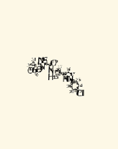 CS(=O)(=O)C1(c2nsc(C(=O)NC34CC(c5ccn(-c6ccc(Cl)cc6)n5)(C3)C4)n2)CC1